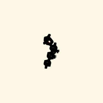 CC1C2CC3(C)CC1CC(C1CC4(C56CCC(C78CCC(C)(CC7)CO8)(CC5)SC6(F)F)CCC1(C)SC4(F)F)(C2)C3